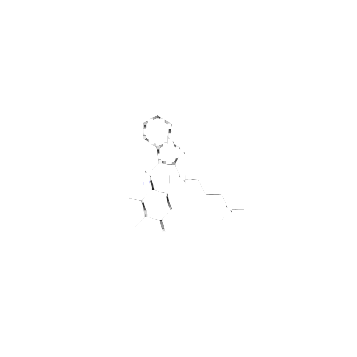 CC1=C(O)/C(=N/c2c(NCCCN(C)C)nn3ccccc23)C=CC1=O